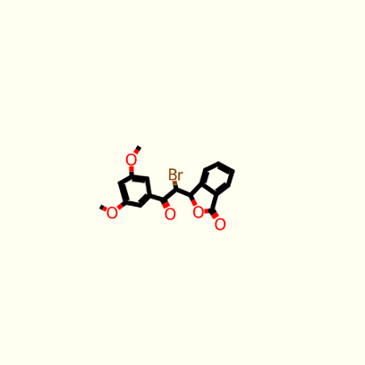 COc1cc(OC)cc(C(=O)C(Br)C2OC(=O)c3ccccc32)c1